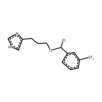 CCC(OCCCc1c[nH]cn1)c1cccc(C(F)(F)F)c1